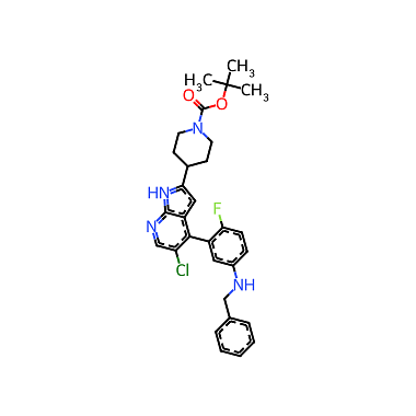 CC(C)(C)OC(=O)N1CCC(c2cc3c(-c4cc(NCc5ccccc5)ccc4F)c(Cl)cnc3[nH]2)CC1